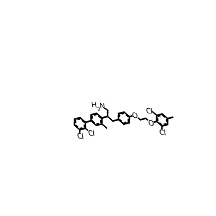 Cc1cc(Cl)c(OCCOc2ccc(CC(CN)c3ccc(-c4cccc(Cl)c4Cl)cc3C)cc2)c(Cl)c1